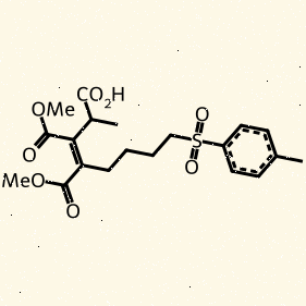 COC(=O)C(CCCCS(=O)(=O)c1ccc(C)cc1)=C(C(=O)OC)C(C)C(=O)O